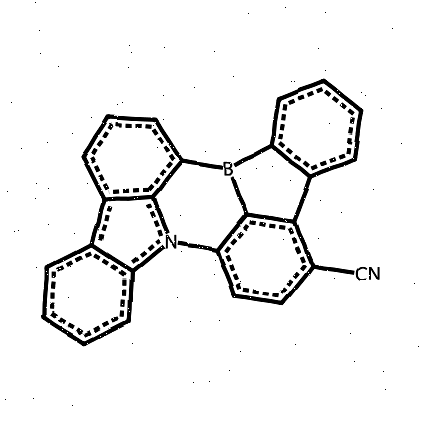 N#Cc1ccc2c3c1-c1ccccc1B3c1cccc3c4ccccc4n-2c13